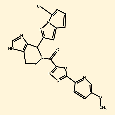 COc1ccc(-c2nnc(C(=O)N3CCc4[nH]cnc4C3c3cc4cccc(Cl)n4n3)o2)nc1